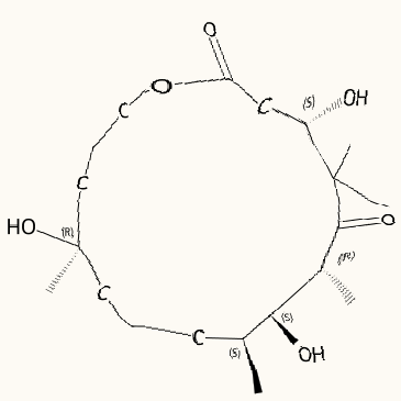 C[C@H]1CCC[C@@](C)(O)CCCOC(=O)C[C@H](O)C(C)(C)C(=O)[C@H](C)[C@H]1O